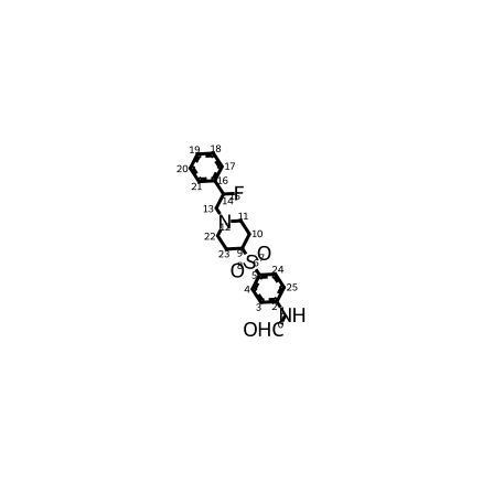 O=CNc1ccc(S(=O)(=O)C2CCN(CC(F)c3ccccc3)CC2)cc1